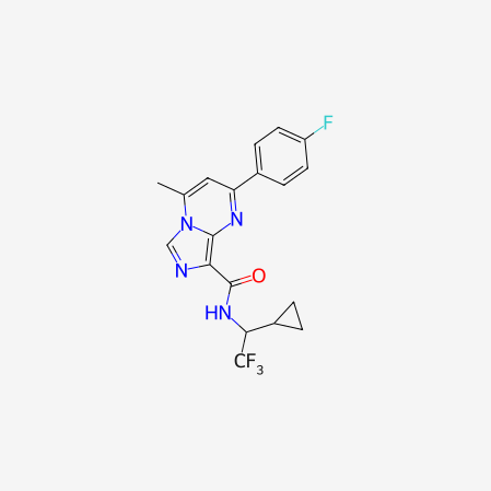 Cc1cc(-c2ccc(F)cc2)nc2c(C(=O)NC(C3CC3)C(F)(F)F)ncn12